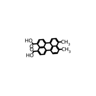 Cc1ccc2c3ccc(C(=O)O)c4c(C(=O)O)ccc(c5ccc(C)c1c25)c43